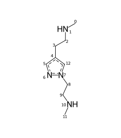 CNCCc1cnn(CCNC)c1